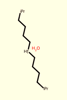 CC(C)CCC[CH2][Hf][CH2]CCCC(C)C.O